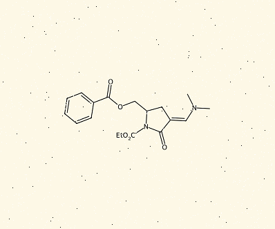 CCOC(=O)N1C(=O)/C(=C/N(C)C)CC1COC(=O)c1ccccc1